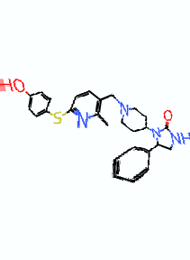 Cc1nc(Sc2ccc(O)cc2)ccc1CN1CCC(N2C(=O)NCC2c2ccccc2)CC1